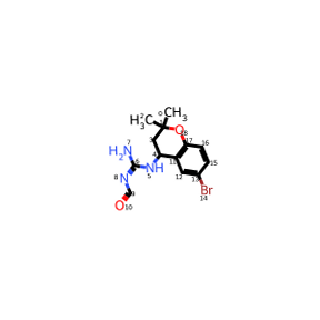 CC1(C)CC(N/C(N)=N\C=O)c2cc(Br)ccc2O1